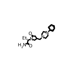 CC[C@@H](C(N)=O)N1CC(CN2CCN(c3ccccc3)CC2)CC1=O